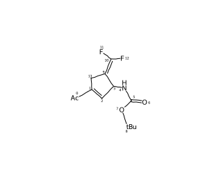 CC(=O)C1=CC(NC(=O)OC(C)(C)C)C(=C(F)F)C1